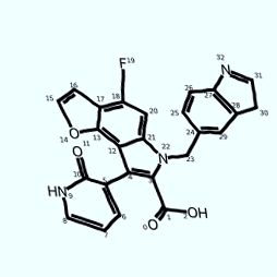 O=C(O)c1c(-c2ccc[nH]c2=O)c2c3occc3c(F)cc2n1Cc1ccc2c(c1)CC=N2